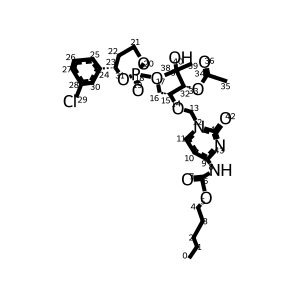 CCCCCOC(=O)Nc1ccn(CO[C@H](COP2(=O)OCC[C@@H](c3cccc(Cl)c3)O2)[C@@H](OC(C)=O)C(C)(C)O)c(=O)n1